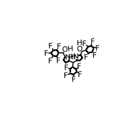 OC(c1ccc(C(c2ccc(C(O)c3c(F)c(F)c(F)c(F)c3F)[nH]2)c2c(F)c(F)c(F)c(F)c2F)[nH]1)c1c(F)c(F)c(F)c(F)c1F